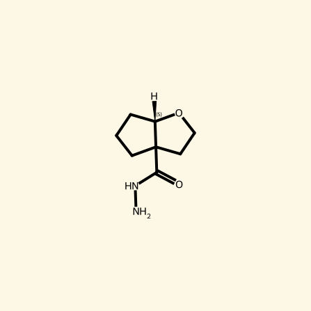 NNC(=O)C12CCC[C@@H]1OCC2